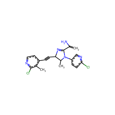 C=C(N)C1=NC(C#Cc2ccnc(Cl)c2C)C(C)N1c1ccc(Cl)nc1